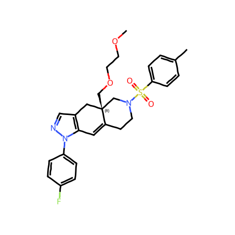 COCCOC[C@]12Cc3cnn(-c4ccc(F)cc4)c3C=C1CCN(S(=O)(=O)c1ccc(C)cc1)C2